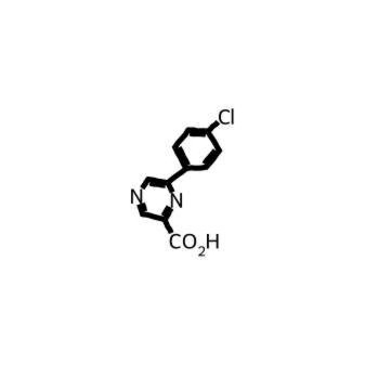 O=C(O)c1cncc(-c2ccc(Cl)cc2)n1